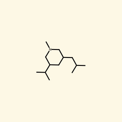 CC(C)CC1CC(C(C)C)CN(C)C1